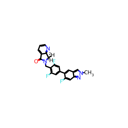 [2H]C1([2H])c2ncccc2C(=O)N1Cc1c(F)cc(-c2cc3cn(C)nc3cc2F)cc1F